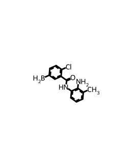 Bc1ccc(Cl)c(C(=O)Nc2cccc(C)c2N)c1